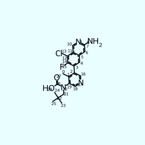 Cc1c(-c2cc3cc(N)ncc3c(Cl)c2F)cncc1N(CC(C)(C)C)C(=O)O